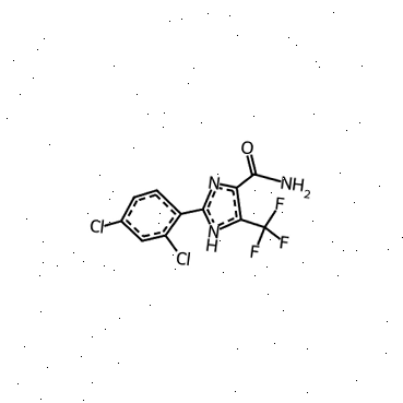 NC(=O)c1nc(-c2ccc(Cl)cc2Cl)[nH]c1C(F)(F)F